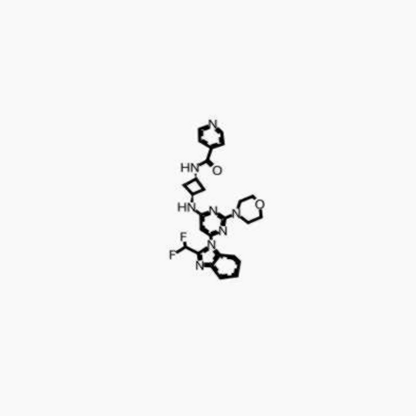 O=C(N[C@H]1C[C@H](Nc2cc(-n3c(C(F)F)nc4ccccc43)nc(N3CCOCC3)n2)C1)c1ccncc1